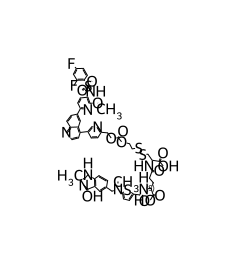 COc1nc(-c2ccc3nccc(-c4ccc(COC(=O)OCCSSCC(NC(=O)CC[C@H](NC(=O)c5ccc(N(C)Cc6ccc7c(c6)C(O)N=C(C)N7)s5)C(=O)O)C(=O)O)nc4)c3c2)ccc1NS(=O)(=O)c1ccc(F)cc1F